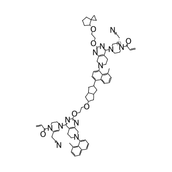 C=CC(=O)N1CCN(c2nc(OCCOC3CC4CC(c5ccc(N6CCc7c(nc(OCCOC8CCCC89CC9)nc7N7CCN(C(=O)C=C)[C@@H](CC#N)C7)C6)c6c(C)cccc56)CC4C3)nc3c2CCN(c2cccc4cccc(C)c24)C3)C=C1CC#N